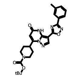 Cc1cccc(-c2noc(-c3cnn4c(C5CCN(C(=O)OC(C)(C)C)CC5)cc(=O)[nH]c34)n2)c1